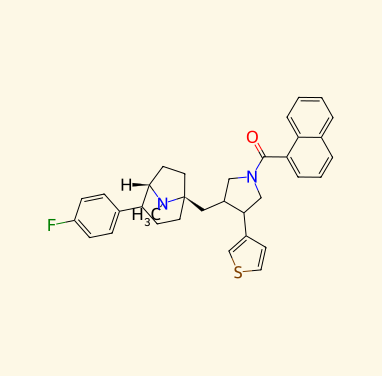 CN1[C@H]2CC[C@]1(CC1CN(C(=O)c3cccc4ccccc34)CC1c1ccsc1)CCC2c1ccc(F)cc1